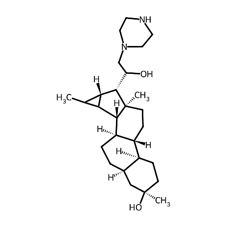 CC1C2[C@H]1[C@H](C(O)CN1CCNCC1)[C@@]1(C)CC[C@H]3[C@@H](CC[C@@H]4C[C@](C)(O)CC[C@@H]43)[C@H]21